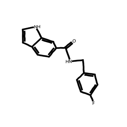 O=C(NCc1ccc(F)cc1)c1ccc2cc[nH]c2c1